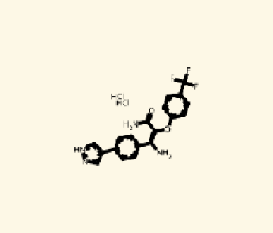 Cl.Cl.NC(=O)C(Oc1ccc(C(F)(F)F)cc1)=C(N)c1ccc(-c2cn[nH]c2)cc1